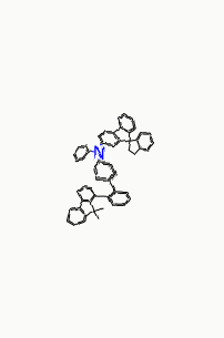 CC1(C)c2ccccc2-c2cccc(-c3ccccc3-c3ccc(N(c4ccccc4)c4ccc5c(c4)C4(CCc6ccccc64)c4ccccc4-5)cc3)c21